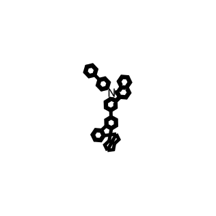 c1ccc(-c2ccc(-n3c4ccc(-c5ccc6c(c5)-c5ccccc5C65C6CC7CC6CC75)cc4c4ccc5ccccc5c43)cc2)cc1